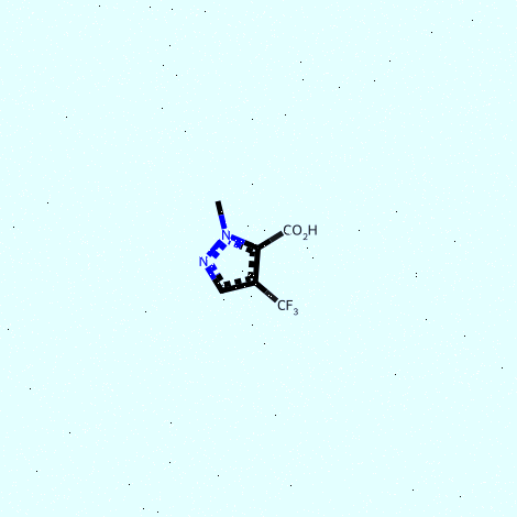 Cn1ncc(C(F)(F)F)c1C(=O)O